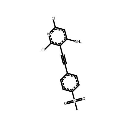 CS(=O)(=O)c1ccc(C#Cc2c(N)cc(Cl)nc2Cl)cc1